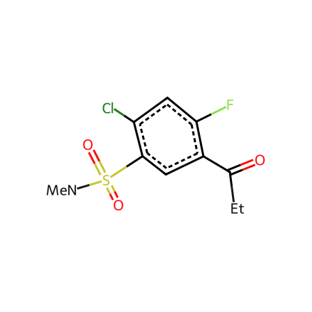 CCC(=O)c1cc(S(=O)(=O)NC)c(Cl)cc1F